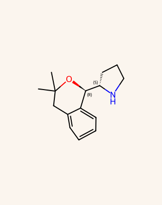 CC1(C)Cc2ccccc2[C@H]([C@@H]2CCCN2)O1